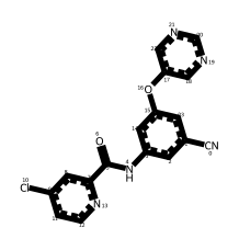 N#Cc1cc(NC(=O)c2cc(Cl)ccn2)cc(Oc2cncnc2)c1